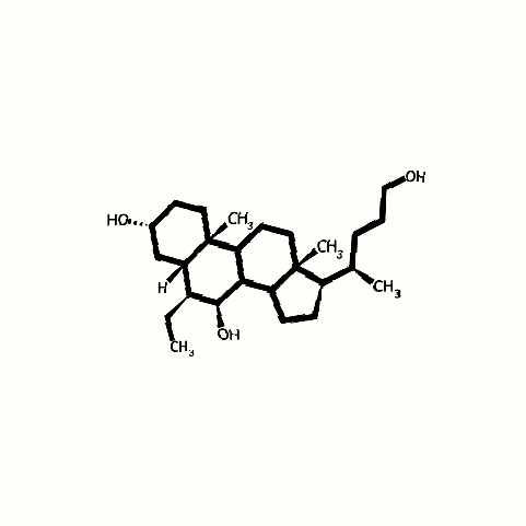 CC[C@@H]1[C@H](O)C2C3CC[C@H]([C@H](C)CCCO)[C@@]3(C)CCC2[C@@]2(C)CC[C@@H](O)C[C@@H]12